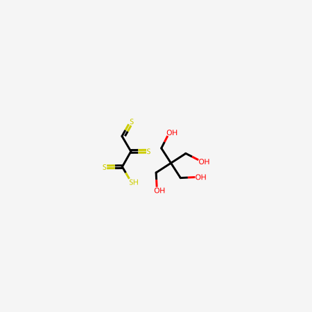 OCC(CO)(CO)CO.S=CC(=S)C(=S)S